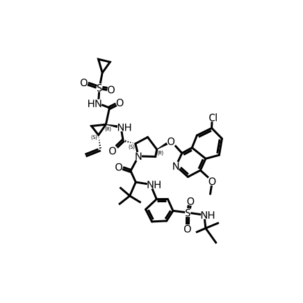 C=C[C@@H]1C[C@]1(NC(=O)[C@@H]1C[C@@H](Oc2ncc(OC)c3ccc(Cl)cc23)CN1C(=O)C(Nc1cccc(S(=O)(=O)NC(C)(C)C)c1)C(C)(C)C)C(=O)NS(=O)(=O)C1CC1